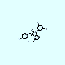 C[C@@]1(Cc2ccc(Br)cc2)C(=O)N(c2cc(Cl)cc(Cl)c2)c2ncc(S(=O)(=O)O)n21